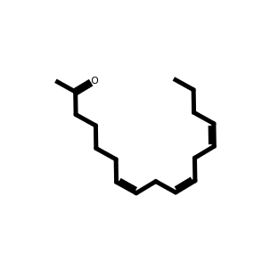 CCC/C=C\C/C=C\C/C=C\CCCCC(C)=O